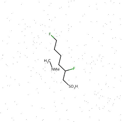 CNC.O=S(=O)(O)CC(F)CCCCF